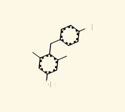 Cc1cc(O)cc(C)c1Cc1ccc(Cl)cc1